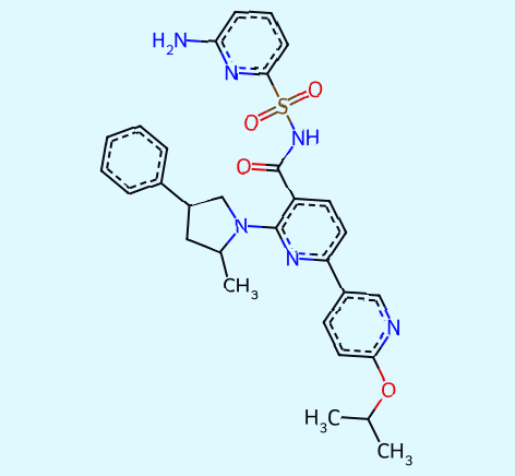 CC(C)Oc1ccc(-c2ccc(C(=O)NS(=O)(=O)c3cccc(N)n3)c(N3CC(c4ccccc4)CC3C)n2)cn1